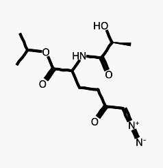 CC(C)OC(=O)C(CCC(=O)C=[N+]=[N-])NC(=O)[C@H](C)O